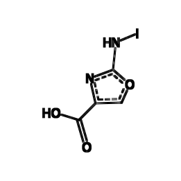 O=C(O)c1coc(NI)n1